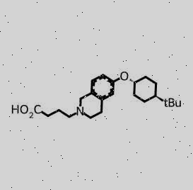 CC(C)(C)[C@H]1CC[C@H](Oc2ccc3c(c2)CCN(CCCC(=O)O)C3)CC1